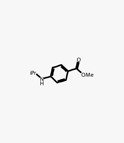 COC(=O)c1ccc(NC(C)C)cc1